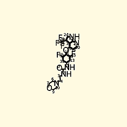 O=C(NCCN1CCOCC1)Nc1cc(F)c(Oc2ccnc3[nH]cc(C(F)(F)F)c23)c(F)c1